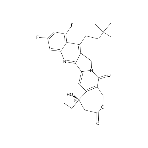 CC[C@@]1(O)CC(=O)OCc2c1cc1n(c2=O)Cc2c-1nc1cc(F)cc(F)c1c2CCC(C)(C)C